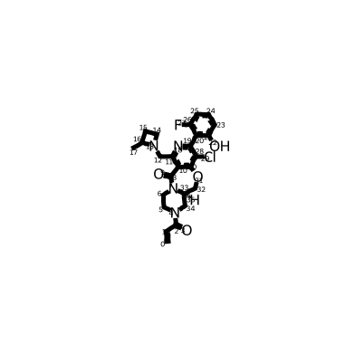 C=CC(=O)N1CCN2C(=O)c3c(CN4CCC4C)nc(-c4c(O)cccc4F)c(Cl)c3OC[C@H]2C1